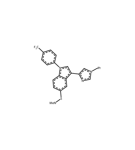 CNSc1ccc2c(c1)c(-c1cn(C(C)C)cn1)cn2-c1ccc(C(F)(F)F)cc1